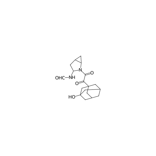 O=CNC1CC2CC2N1C(=O)C(=O)C12CC3CC(CC(O)(C3)C1)C2